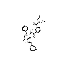 CCCN(CCC)C(=O)c1cccc(C(=O)NC[C@H](CC(C)C(=O)NCc2ccccc2)c2ccccc2)c1